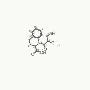 CC(CS)C(=O)N1c2ccccc2CCC1C(=O)O